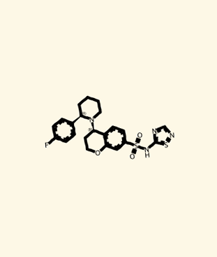 O=S(=O)(Nc1ncns1)c1ccc2c(c1)OCC[C@H]2N1CCCC[C@@H]1c1ccc(F)cc1